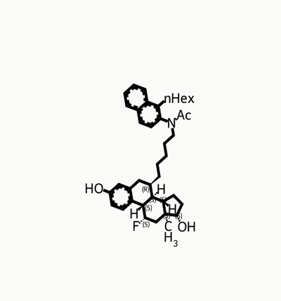 CCCCCCc1c(N(CCCCC[C@@H]2Cc3cc(O)ccc3[C@@H]3[C@@H]2[C@@H]2CC[C@H](O)[C@@]2(C)C[C@@H]3F)C(C)=O)ccc2ccccc12